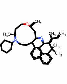 C=C/C(C)=C1/C2=NC3CC(=C)OCC[C@H](C)N(C4CCCCC4)CCC3c3ccc4cccc(c4c32)C1(C)C